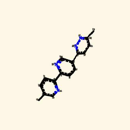 Cc1ccc(-c2ccc(-c3ccc(C)nn3)cn2)nc1